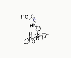 Cc1ccc(N2N=C(C(=O)NN3CCCCC3)CC2c2cccc(NC/C=C/C(=O)O)c2)c(C)c1